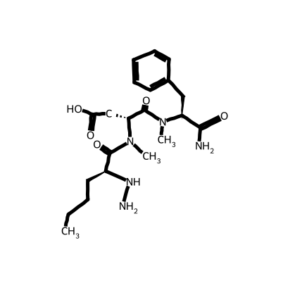 CCCC[C@H](NN)C(=O)N(C)[C@H](CC(=O)O)C(=O)N(C)[C@@H](Cc1ccccc1)C(N)=O